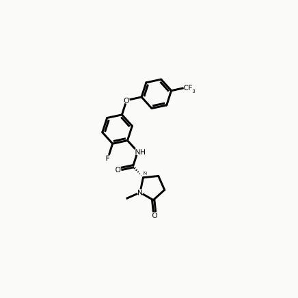 CN1C(=O)CC[C@H]1C(=O)Nc1cc(Oc2ccc(C(F)(F)F)cc2)ccc1F